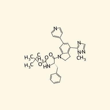 Cn1ncnc1-c1cc(-c2ccncc2)cc2c1CCN2C(=O)[C@H](Cc1ccccc1)NC(=O)OC(C)(C)C